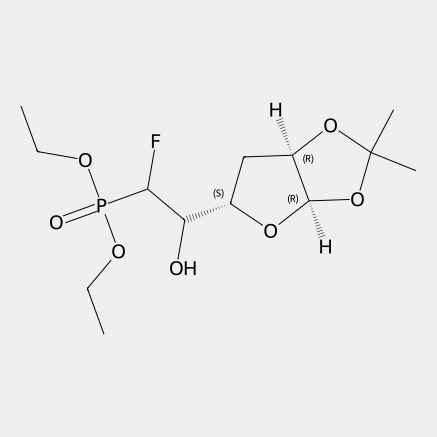 CCOP(=O)(OCC)C(F)C(O)[C@@H]1C[C@H]2OC(C)(C)O[C@H]2O1